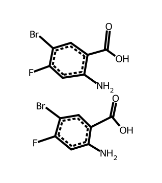 Nc1cc(F)c(Br)cc1C(=O)O.Nc1cc(F)c(Br)cc1C(=O)O